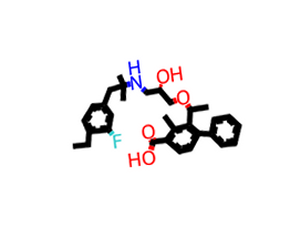 CCc1ccc(CC(C)(C)NC[C@@H](O)COC(C)c2c(-c3ccccc3)ccc(C(=O)O)c2C)cc1F